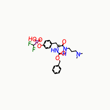 CN(C)CCCNC(=O)[C@H](Cc1ccc(OP(=O)(O)C(F)F)cc1)NC(=O)OCc1ccccc1